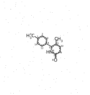 Cc1ccc(-c2[nH]c(=O)ccc2C)cc1